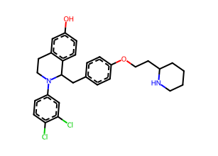 Oc1ccc2c(c1)CCN(c1ccc(Cl)c(Cl)c1)C2Cc1ccc(OCCC2CCCCN2)cc1